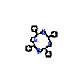 C1=Cc2nc1c(-c1ccccc1)c1ccc([nH]1)c(-c1ccccc1)c1nc(c(-c3ccccc3)c3ccc([nH]3)c2-c2ccccc2)C=C1